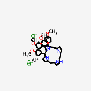 COc1ccc(-c2c(-c3ccc(OC)cc3)c3c(-c4ccc(OC)cc4)c4nc(cc5ccc(cc6nc(cc2n3-c2ccc(OC)cc2)C=C6)[nH]5)C=C4)cc1.[Al+3].[Cl-].[Cl-].[Cl-]